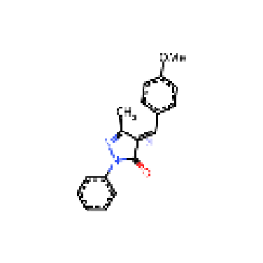 COc1ccc(/C=C2/C(=O)N(c3ccccc3)N=C2C)cc1